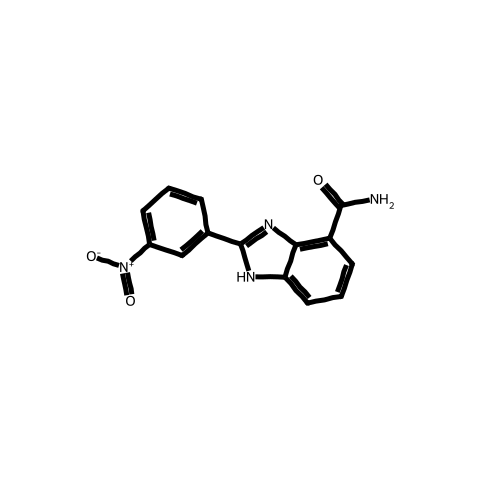 NC(=O)c1cccc2[nH]c(-c3cccc([N+](=O)[O-])c3)nc12